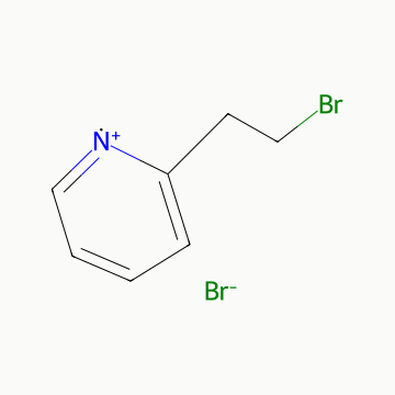 BrCCC1=CC=CC=[N+]1.[Br-]